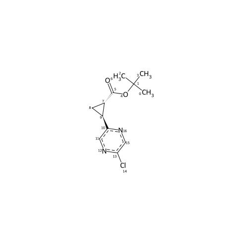 CC(C)(C)OC(=O)[C@H]1C[C@@H]1c1cnc(Cl)cn1